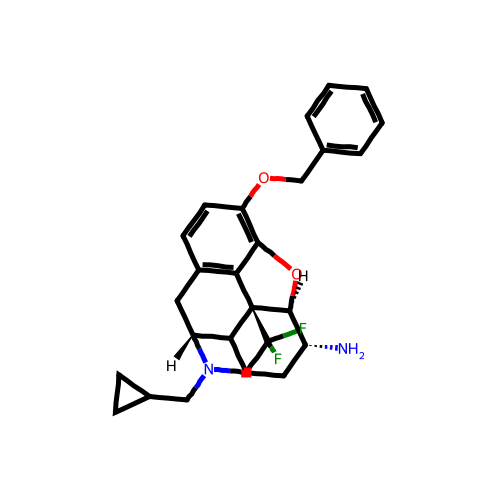 N[C@@H]1CC[C]2[C@H]3Cc4ccc(OCc5ccccc5)c5c4[C@@]2([C@H]1O5)C(F)(F)CN3CC1CC1